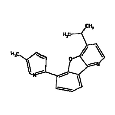 Cc1ccc(-c2cccc3c2oc2c(C(C)C)ccnc23)nc1